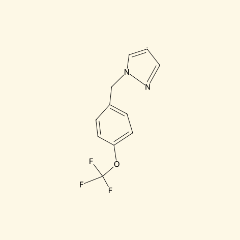 FC(F)(F)Oc1ccc(Cn2c[c]cn2)cc1